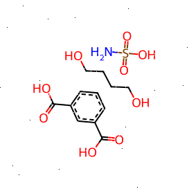 NS(=O)(=O)O.O=C(O)c1cccc(C(=O)O)c1.OCCCCO